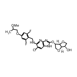 COC(C)COc1cc(F)c(CNc2nc3nc(O[C@@H]4CO[C@H]5[C@@H]4OC[C@H]5O)[nH]c3cc2Cl)c(F)c1